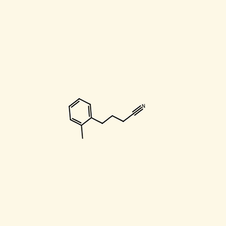 Cc1ccccc1CCCC#N